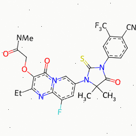 CCc1nc2c(F)cc(N3C(=S)N(c4ccc(C#N)c(C(F)(F)F)c4)C(=O)C3(C)C)cn2c(=O)c1OCC(=O)NC